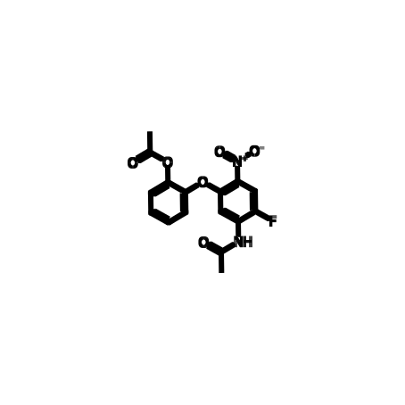 CC(=O)Nc1cc(Oc2ccccc2OC(C)=O)c([N+](=O)[O-])cc1F